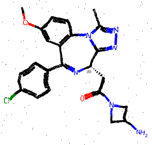 COc1ccc2c(c1)C(c1ccc(Cl)cc1)=N[C@@H](CC(=O)N1CC(N)C1)c1nnc(C)n1-2